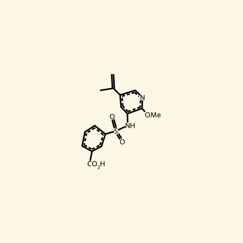 C=C(C)c1cnc(OC)c(NS(=O)(=O)c2cccc(C(=O)O)c2)c1